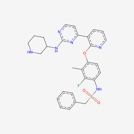 Cc1c(Oc2ncccc2-c2ccnc(NC3CCCNC3)n2)ccc(NS(=O)(=O)Cc2ccccc2)c1F